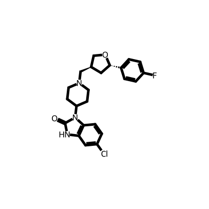 O=c1[nH]c2cc(Cl)ccc2n1C1CCN(C[C@H]2CO[C@H](c3ccc(F)cc3)C2)CC1